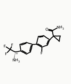 NC(=O)C1(c2ccc(-c3ccc([C@H](N)C(F)(F)F)cc3)c(F)c2)CC1